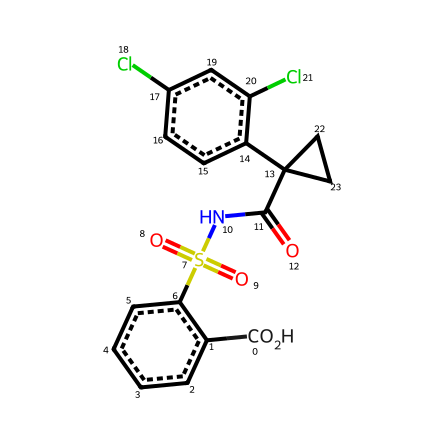 O=C(O)c1ccccc1S(=O)(=O)NC(=O)C1(c2ccc(Cl)cc2Cl)CC1